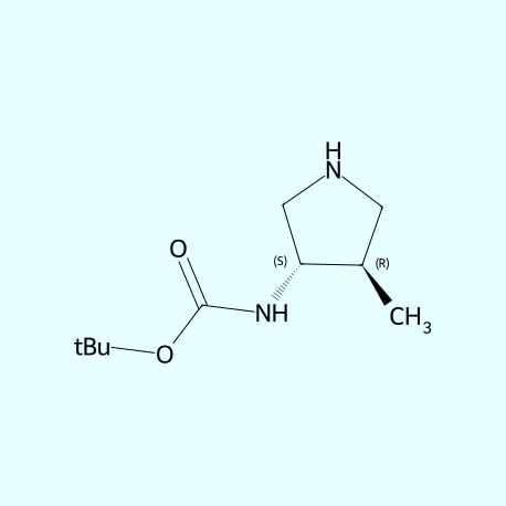 C[C@@H]1CNC[C@H]1NC(=O)OC(C)(C)C